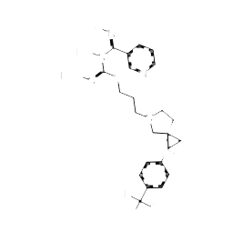 C/N=C(/c1cccnc1)N(C)/C(=N\C)SCCCN1CC[C@]2(C[C@H]2c2ccc(C(F)(F)F)cc2)C1